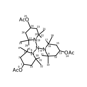 CC(=O)OC1CC(C)(C)N(N(N2C(C)(C)CC(OC(C)=O)CC2(C)C)N2C(C)(C)CC(OC(C)=O)CC2(C)C)C(C)(C)C1